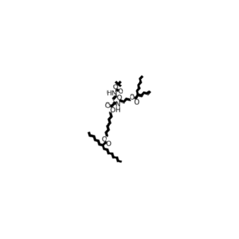 CCCCCCCCC(CCCCCC)C(=O)OCCCCCCCCOC(=O)[C@H](CCNC(=O)OC(C)(C)C)NC(=O)CCCOC(=O)C(CCCC)CCCCCC